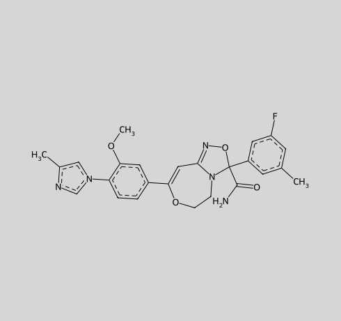 COc1cc(C2=CC3=NOC(C(N)=O)(c4cc(C)cc(F)c4)N3CCO2)ccc1-n1cnc(C)c1